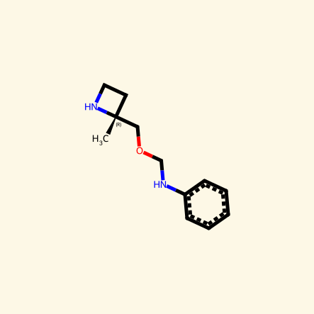 C[C@]1(COCNc2ccccc2)CCN1